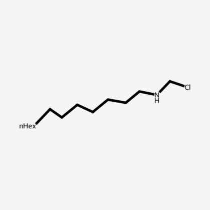 CCCCCCCCCCCCCNCCl